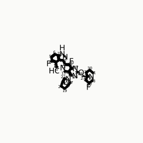 C#Cc1c(F)ccc2[nH]nc(-c3ncc4c(N5CC6CCC(C5)O6)nc(OC[C@@]56CCCN5C[C@H](F)C6)nc4c3F)c12